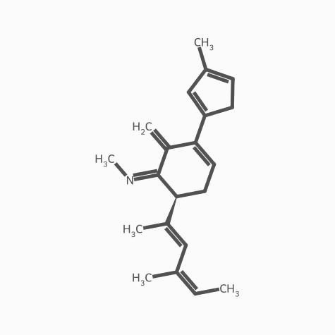 C=C1C(C2=CC(C)=CC2)=CC[C@@H](/C(C)=C/C(C)=C\C)/C1=N/C